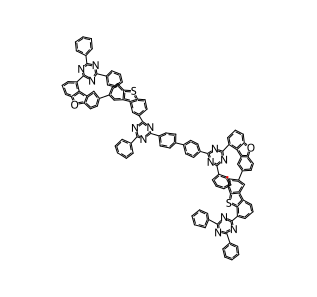 c1ccc(-c2nc(-c3ccc(-c4ccc(-c5nc(-c6ccccc6)nc(-c6cccc7oc8ccc(-c9ccc%10sc%11c(-c%12nc(-c%13ccccc%13)nc(-c%13ccccc%13)n%12)cccc%11c%10c9)cc8c67)n5)cc4)cc3)nc(-c3ccc4sc5ccc(-c6ccc7oc8cccc(-c9nc(-c%10ccccc%10)nc(-c%10ccccc%10)n9)c8c7c6)cc5c4c3)n2)cc1